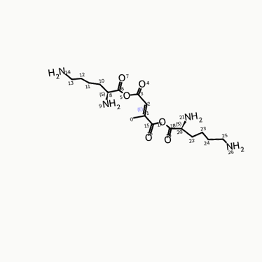 C/C(=C\C(=O)OC(=O)[C@@H](N)CCCCN)C(=O)OC(=O)[C@@H](N)CCCCN